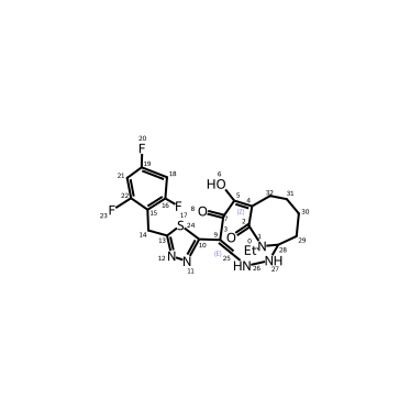 CCN1C(=O)/C2=C(\O)C(=O)/C(c3nnc(Cc4c(F)cc(F)cc4F)s3)=C\NNC1CCCC2